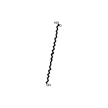 O=C(O)CCCCCCCCCCCCC/C=C/C/C=C/CCCCCCCCCCCO